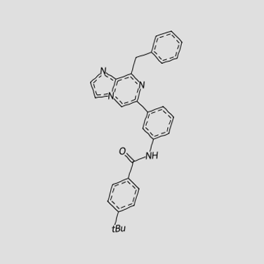 CC(C)(C)c1ccc(C(=O)Nc2cccc(-c3cn4ccnc4c(Cc4ccccc4)n3)c2)cc1